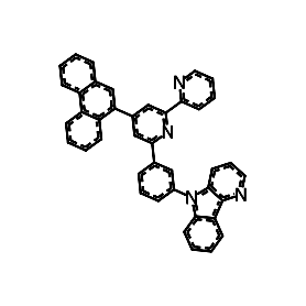 c1ccc(-c2cc(-c3cc4ccccc4c4ccccc34)cc(-c3cccc(-n4c5ccccc5c5ncccc54)c3)n2)nc1